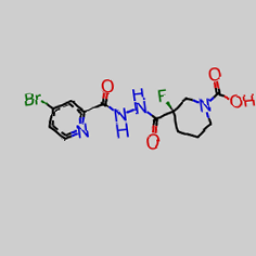 O=C(NNC(=O)[C@@]1(F)CCCN(C(=O)O)C1)c1cc(Br)ccn1